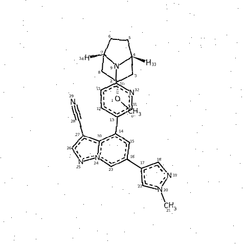 CO[C@H]1C[C@H]2CC[C@@H](C1)N2c1ccc(-c2cc(-c3cnn(C)c3)cn3ncc(C#N)c23)cn1